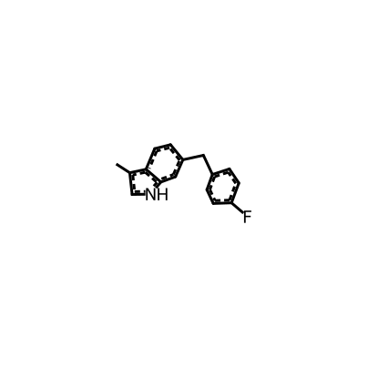 Cc1c[nH]c2cc(Cc3ccc(F)cc3)ccc12